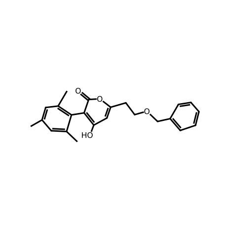 Cc1cc(C)c(-c2c(O)cc(CCOCc3ccccc3)oc2=O)c(C)c1